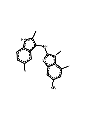 Cc1ccc2[nH]c(C)c(Nc3nc4cc(C(F)(F)F)cc(F)c4n3C)c2c1